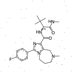 CNC(=O)[C@@H](NC(=O)c1nc(-c2ccc(F)cc2)n2c1CN(C)CCC2)C(C)(C)C